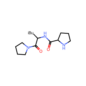 CCC(C)C(NC(=O)C1CCCN1)C(=O)N1CCCC1